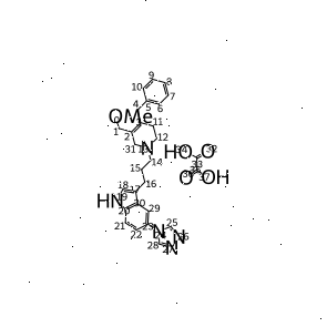 COCC1=C(Cc2ccccc2)CCN(CCCc2c[nH]c3ccc(-n4cnnc4)cc23)C1.O=C(O)C(=O)O